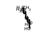 CC(C)(C)OC(=O)N1CCC(CCN2CCN(c3ccc(C(=O)NCCCO)cc3)CC2)CC1